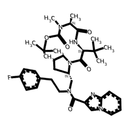 C[C@@H](C(=O)N[C@H](C(=O)N1CCC[C@H]1CN(CCc1ccc(F)cc1)C(=O)c1cn2ccccc2n1)C(C)(C)C)N(C)C(=O)OC(C)(C)C